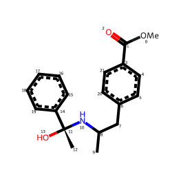 COC(=O)c1ccc(CC(C)N[C@](C)(O)c2ccccc2)cc1